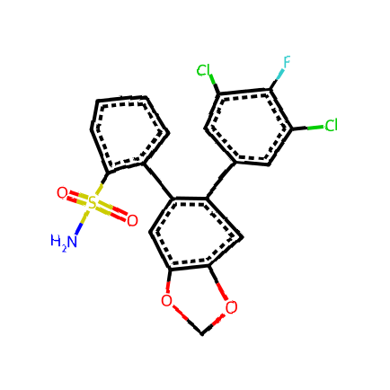 NS(=O)(=O)c1ccccc1-c1cc2c(cc1-c1cc(Cl)c(F)c(Cl)c1)OCO2